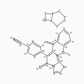 C1CCC2OCC2C1.C=C(c1ccccc1OC)c1nc2sccn2c(=O)c1-c1ccc(C#N)cc1